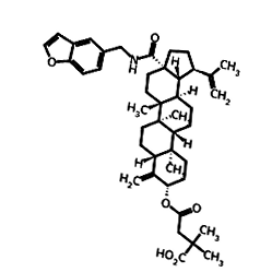 C=C(C)[C@@H]1CC[C@]2(C(=O)NCc3ccc4occc4c3)CC[C@]3(C)[C@H](CC[C@@H]4[C@@]5(C)CC[C@H](OC(=O)CC(C)(C)C(=O)O)C(=C)[C@@H]5CC[C@]43C)[C@@H]12